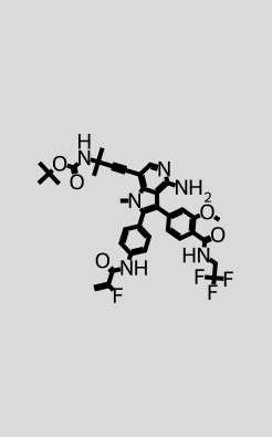 C=C(F)C(=O)Nc1ccc(-c2c(-c3ccc(C(=O)NCC(F)(F)F)c(OC)c3)c3c(N)ncc(C#CC(C)(C)NC(=O)OC(C)(C)C)c3n2C)cc1